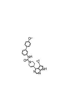 COc1ccc(-c2cccc(NC(=O)N3CC=C(c4ncnc5[nH]cc(C6CC6)c45)CC3)c2)cc1